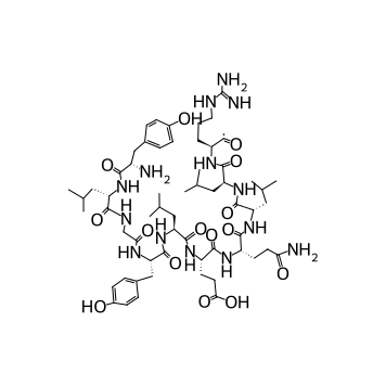 CC(C)C[C@H](NC(=O)[C@H](CC(C)C)NC(=O)[C@H](CCC(N)=O)NC(=O)[C@H](CCC(=O)O)NC(=O)[C@H](CC(C)C)NC(=O)[C@H](Cc1ccc(O)cc1)NC(=O)CNC(=O)[C@H](CC(C)C)NC(=O)[C@@H](N)Cc1ccc(O)cc1)C(=O)N[C@H]([C]=O)CCCNC(=N)N